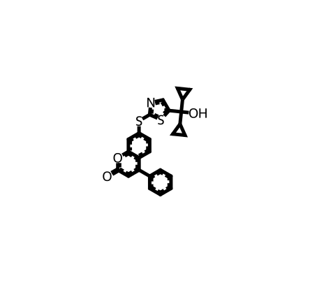 O=c1cc(-c2ccccc2)c2ccc(Sc3ncc(C(O)(C4CC4)C4CC4)s3)cc2o1